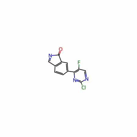 O=C1N=Cc2ccc(-c3nc(Cl)ncc3F)cc21